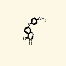 Nc1ccc(Sc2ccc3c(=O)[nH]cnc3c2)cc1